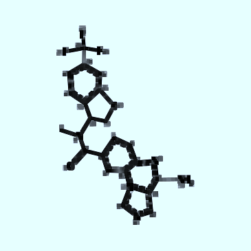 CN(C(=O)c1ccc2nc(N)c3cncn3c2c1)C1CSc2cc(C(F)(F)F)ccc21